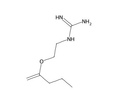 C=C(CCC)OCCNC(=N)N